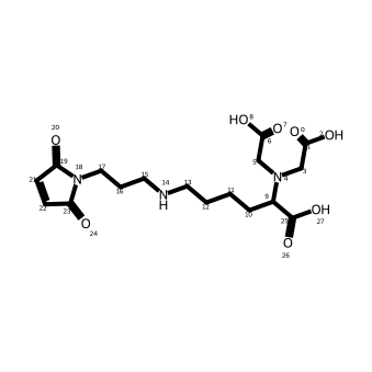 O=C(O)CN(CC(=O)O)C(CCCCNCCCN1C(=O)C=CC1=O)C(=O)O